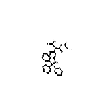 CCC(C)OC(=O)C(C(=O)O)c1csc(NC(c2ccccc2)(c2ccccc2)c2ccccc2)n1